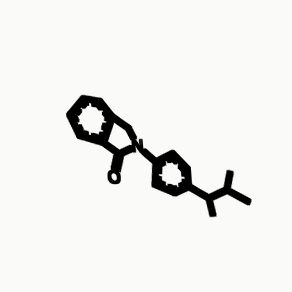 CC(C)C(C)c1ccc(N2Cc3ccccc3C2=O)cc1